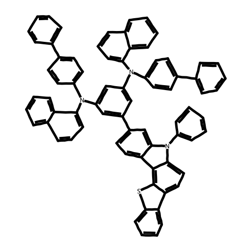 c1ccc(-c2ccc(N(c3cc(-c4ccc5c6c7sc8ccccc8c7ccc6n(-c6ccccc6)c5c4)cc(N(c4ccc(-c5ccccc5)cc4)c4cccc5ccccc45)c3)c3cccc4ccccc34)cc2)cc1